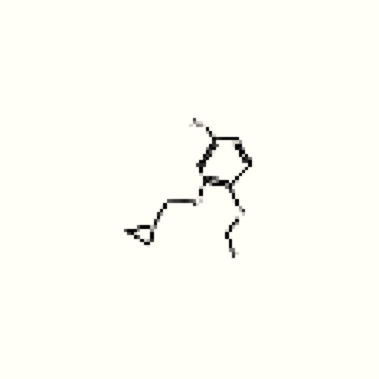 CC(=O)c1ccc(OCF)c(OCC2CC2)c1